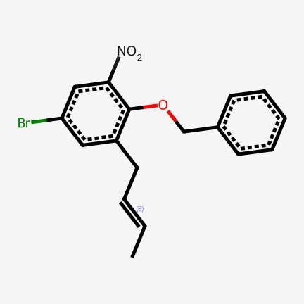 C/C=C/Cc1cc(Br)cc([N+](=O)[O-])c1OCc1ccccc1